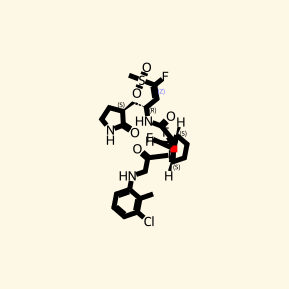 Cc1c(Cl)cccc1NCC(=O)N1[C@H]2CC[C@@H]([C@H]1C(=O)N[C@@H](/C=C(/F)S(C)(=O)=O)C[C@@H]1CCNC1=O)C(F)(F)C2